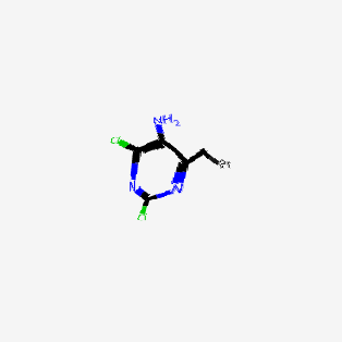 CC(C)Cc1nc(Cl)nc(Cl)c1N